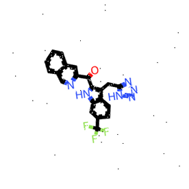 O=C(c1cc2ccccc2cn1)c1[nH]c2cc(C(F)(F)F)ccc2c1Cc1nnn[nH]1